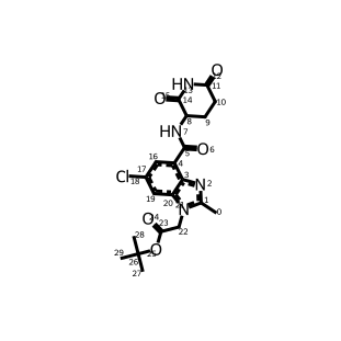 Cc1nc2c(C(=O)NC3CCC(=O)NC3=O)cc(Cl)cc2n1CC(=O)OC(C)(C)C